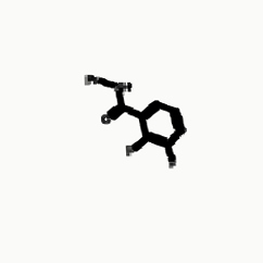 CC(C)NC(=O)c1cccc(F)c1F